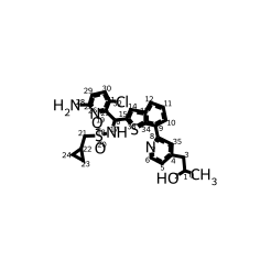 CC(O)Cc1ccnc(-c2cccc3cc(C(NS(=O)(=O)CC4CC4)c4nc(N)ccc4Cl)sc23)c1